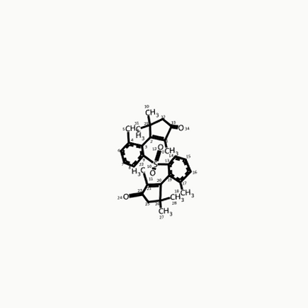 CC1=C(c2c(C)cccc2S(=O)(=O)c2cccc(C)c2C2=C(C)C(=O)CC2(C)C)C(C)(C)CC1=O